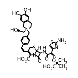 C#CC[N+]1(Cc2ccc(/C=C\C3=C(C(=O)O)N4C(=O)[C@@H](NC(=O)/C(=N\OC(C)(C)C(=O)O)c5csc(N)n5)[C@H]4SC3)cc2)CCc2cc(O)c(O)cc2C1